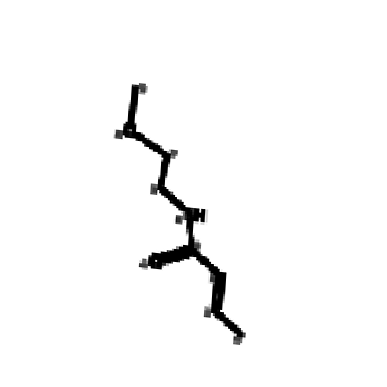 CC=CC(=O)NCCOC